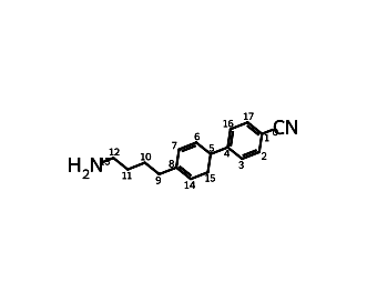 N#Cc1ccc(C2C=CC(CCCCN)=CC2)cc1